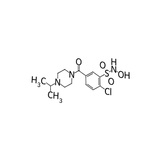 CC(C)N1CCN(C(=O)c2ccc(Cl)c(S(=O)(=O)NO)c2)CC1